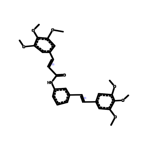 COc1cc(/C=C/C(=O)Nc2cccc(/C=C/c3cc(OC)c(OC)c(OC)c3)c2)cc(OC)c1OC